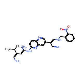 CC(C)C(=C/N)/C=C(\N)Nc1ccc2ncc(/C(C=N)=C/NCc3ccccc3[N+](=O)[O-])cc2n1